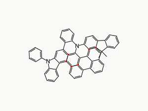 CC1(C)c2ccccc2-c2ccc(N(c3ccccc3-c3ccc4c5ccccc5n(-c5ccccc5)c4c3)c3ccccc3-c3cccc4cccc(-c5ccccc5)c34)cc21